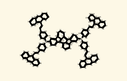 C(=Cc1c2ccccc2cc2ccccc12)c1ccc(N(c2ccc(C=Cc3c4ccccc4cc4ccccc34)cc2)c2ccc3c(c2)c2cccc4c2c3c2cccc3c5cc(N(c6ccc(C=Cc7c8ccccc8cc8ccccc78)cc6)c6ccc(C=Cc7c8ccccc8cc8ccccc78)cc6)ccc5c4c32)cc1